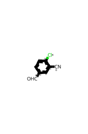 N#Cc1cc(C=O)ccc1Cl